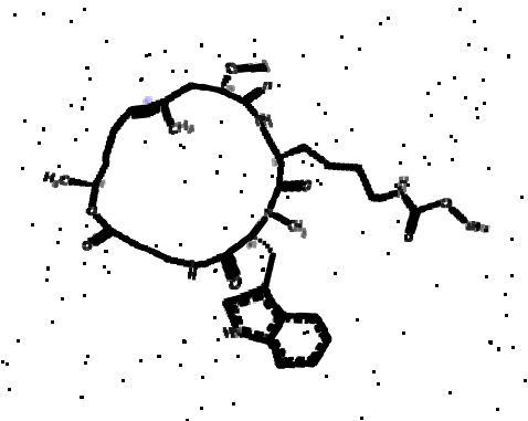 C/C1=C\CC[C@H](C)OC(=O)CCNC(=O)[C@@H](Cc2c[nH]c3ccccc23)N(C)C(=O)[C@H](CCCCNC(=O)OC(C)(C)C)NC(=O)[C@@H](OI)C1